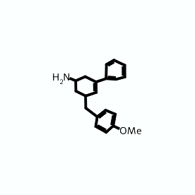 COc1ccc(CC2C=C(c3ccccc3)CC(N)C2)cc1